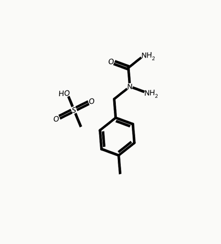 CS(=O)(=O)O.Cc1ccc(CN(N)C(N)=O)cc1